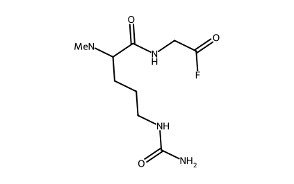 CNC(CCCNC(N)=O)C(=O)NCC(=O)F